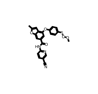 COOSc1ccc(Oc2cc(C(=O)Nc3ccc(C#N)cn3)cc3oc(C)cc23)cc1